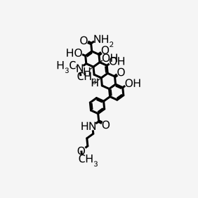 COCCCNC(=O)c1cccc(-c2ccc(O)c3c2C[C@H]2C[C@H]4C(N(C)C)C(O)=C(C(N)=O)C(=O)[C@@]4(O)C(O)=C2C3=O)c1